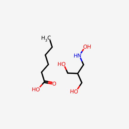 CCCCCC(=O)O.OCC(CO)CNO